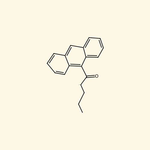 CCC[CH]C(=O)c1c2ccccc2cc2ccccc12